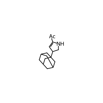 CC(=O)C1=CC(C23CC4CC(CC(C4)C2)C3)CN1